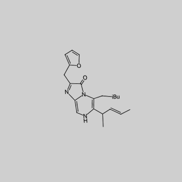 CC=CC(C)c1[nH]cc2nc(Cc3ccco3)c(=O)n-2c1CC(C)CC